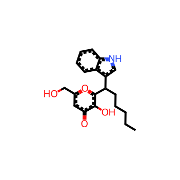 CCCCCC(c1oc(CO)cc(=O)c1O)c1c[nH]c2ccccc12